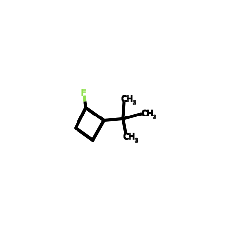 CC(C)(C)C1CCC1F